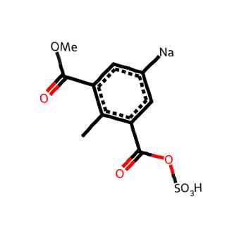 COC(=O)c1c[c]([Na])cc(C(=O)OS(=O)(=O)O)c1C